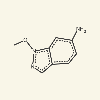 COn1ncc2ccc(N)cc21